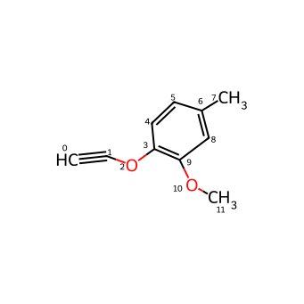 C#COc1ccc(C)cc1OC